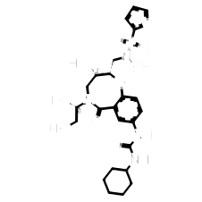 C[C@@H]1CN([C@H](C)CO)C(=O)c2cc(NC(=O)NC3CCCCC3)ccc2O[C@@H]1CN(C)S(=O)(=O)c1cccs1